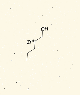 CCCCCO.[Zr+4]